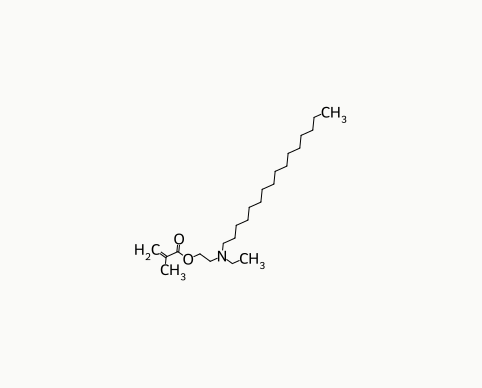 C=C(C)C(=O)OCCN(CC)CCCCCCCCCCCCCCCC